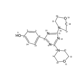 Oc1ccc(-c2nc(N3CCOCC3)nc(N3CCOCC3)n2)cc1